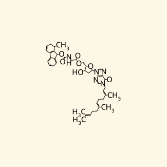 CC(C)=CCC/C(C)=C/CC/C(C)=C/Cn1cnc2c(ncn2[C@H]2CC(O)[C@@H](COC(=O)CNC(=O)OC3C4=C(C=CCC4C)c4ccccc43)O2)c1=O